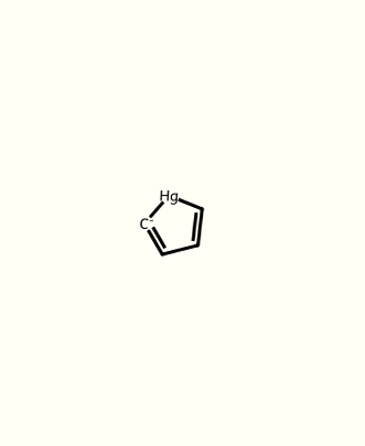 [C-]1=CC=[CH][Hg]1